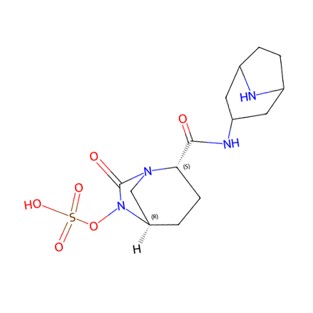 O=C(NC1CC2CCC(C1)N2)[C@@H]1CC[C@@H]2CN1C(=O)N2OS(=O)(=O)O